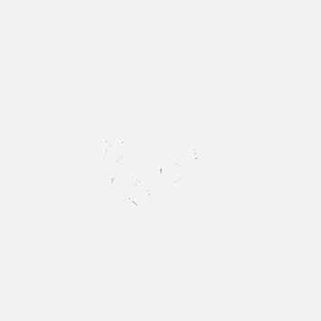 COC(=O)c1ccc(-c2nc(Nc3cnn(C4CCCCC4)c3)ncc2C)cc1